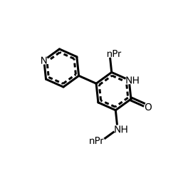 CCCNc1cc(-c2ccncc2)c(CCC)[nH]c1=O